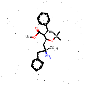 CC(C)(C)OC(=O)[C@@H](Cc1ccccc1)[C@H](C[C@](N)(Cc1ccccc1)C(=O)O)O[Si](C)(C)C(C)(C)C